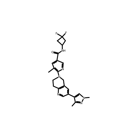 Cc1cc(C(=O)NC2CC(F)(F)C2)cnc1N1CCc2ncc(-c3cn(C)nc3C)cc2C1